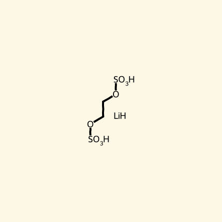 O=S(=O)(O)OCCOS(=O)(=O)O.[LiH]